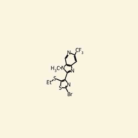 CCSc1sc(Br)nc1-c1nc2cc(C(F)(F)F)ncc2n1C